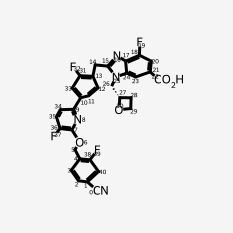 N#Cc1ccc(COc2nc(-c3ccc(Cc4nc5c(F)cc(C(=O)O)cc5n4C[C@@H]4CCO4)c(F)c3)ccc2F)c(F)c1